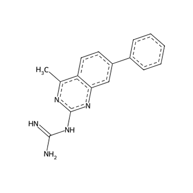 Cc1nc(NC(=N)N)nc2cc(-c3ccccc3)ccc12